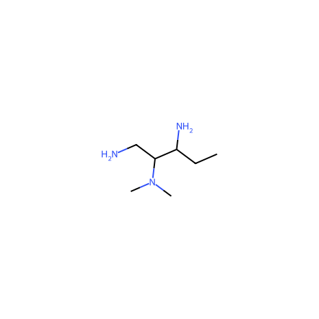 CCC(N)C(CN)N(C)C